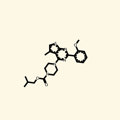 COc1ccccc1-c1nc(N2CCN(C(=O)OCC(C)C)CC2)c2c(C)csc2n1